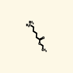 B.CCCCCC(=O)OCC